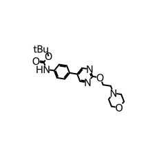 CC(C)(C)OC(=O)Nc1ccc(-c2cnc(OCCN3CCOCC3)nc2)cc1